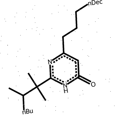 CCCCCCCCCCCCCc1cc(=O)[nH]c(C(C)(C)C(C)CCCC)n1